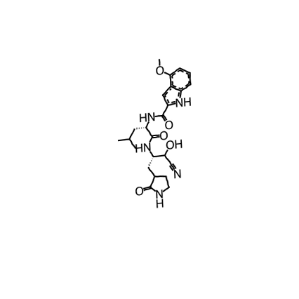 COc1cccc2[nH]c(C(=O)N[C@@H](CC(C)C)C(=O)N[C@@H](CC3CCNC3=O)C(O)C#N)cc12